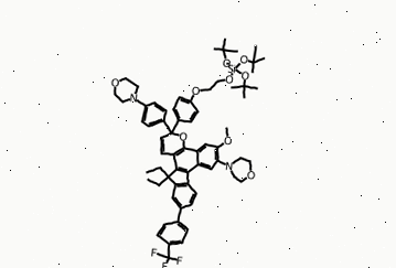 CCC1(CC)c2cc(-c3ccc(C(F)(F)F)cc3)ccc2-c2c1c1c(c3cc(OC)c(N4CCOCC4)cc23)OC(c2ccc(OCCO[Si](OC(C)(C)C)(OC(C)(C)C)OC(C)(C)C)cc2)(c2ccc(N3CCOCC3)cc2)C=C1